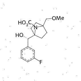 COCC12CCC([C@@H](O)c3cccc(F)c3)(CC1)N2C(=O)O